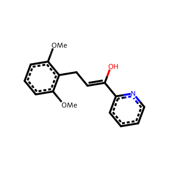 COc1cccc(OC)c1CC=C(O)c1ccccn1